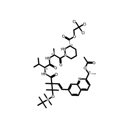 CC(=O)O[C@H](C)c1ccc2ccc(C=CC(C)(C(=O)N[C@H](C(=O)N[C@@H](C)C(=O)N3CCC[C@@H](C(=O)OCC(Cl)(Cl)Cl)N3)C(C)C)C(C)(C)O[Si](C)(C)C(C)(C)C)cc2n1